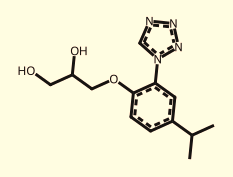 CC(C)c1ccc(OCC(O)CO)c(-n2cnnn2)c1